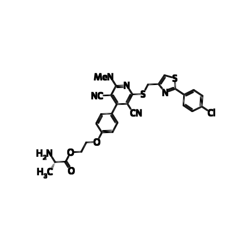 CNc1nc(SCc2csc(-c3ccc(Cl)cc3)n2)c(C#N)c(-c2ccc(OCCOC(=O)[C@H](C)N)cc2)c1C#N